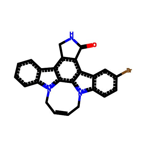 O=C1NCc2c1c1c3cc(Br)ccc3n3c1c1c2c2ccccc2n1C/C=C\C3